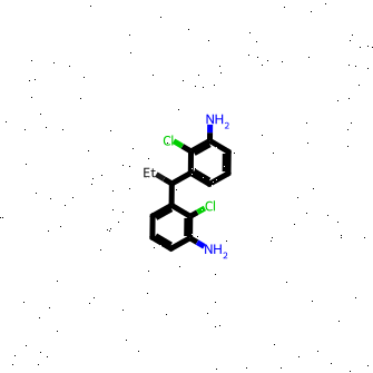 CCC(c1cccc(N)c1Cl)c1cccc(N)c1Cl